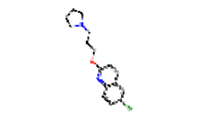 Brc1ccc2nc(OCCCN3CCCC3)ccc2c1